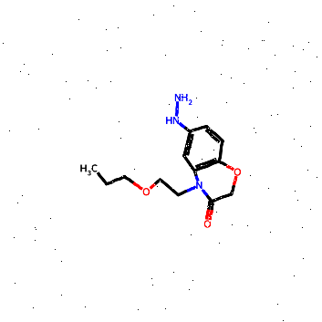 CCCOCCN1C(=O)COc2ccc(NN)cc21